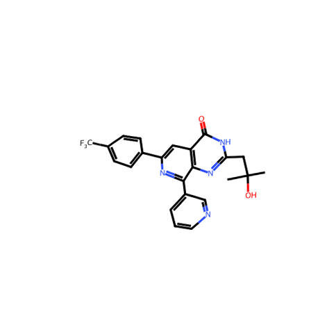 CC(C)(O)Cc1nc2c(-c3cccnc3)nc(-c3ccc(C(F)(F)F)cc3)cc2c(=O)[nH]1